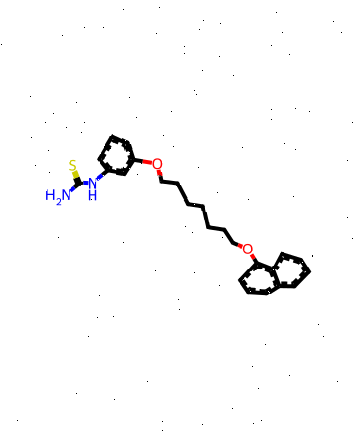 NC(=S)Nc1cccc(OCCCCCCCOc2cccc3ccccc23)c1